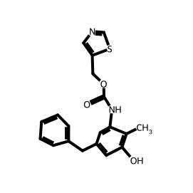 Cc1c(O)cc(Cc2ccccc2)cc1NC(=O)OCc1cncs1